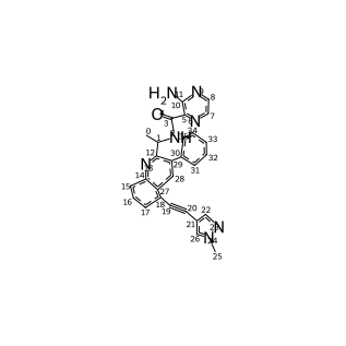 CC(NC(=O)c1nccnc1N)c1nc2cccc(C#Cc3cnn(C)c3)c2cc1-c1ccccc1